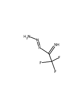 N=C(N=NN)C(F)(F)F